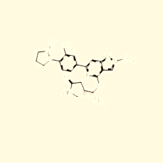 Cc1cc(-c2cc3nn(C)cc3c(O[C@H](C)[C@H]3CNC(=O)C3)n2)ccc1N1CCC[S+]1[O-]